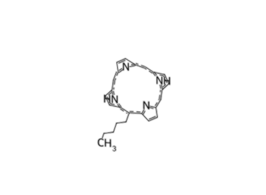 CCCCCc1c2nc(cc3ccc(cc4nc(cc5ccc1[nH]5)C=C4)[nH]3)C=C2